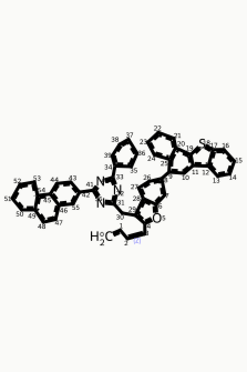 C=C/C=C\c1oc2cc(-c3cc4c5ccccc5sc4c4ccccc34)ccc2c1Cc1nc(-c2ccccc2)nc(-c2ccc3c(ccc4ccccc43)c2)n1